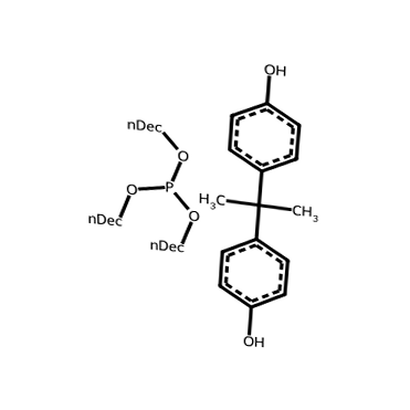 CC(C)(c1ccc(O)cc1)c1ccc(O)cc1.CCCCCCCCCCOP(OCCCCCCCCCC)OCCCCCCCCCC